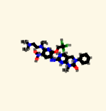 CN(C)CCN(C)c1nc(OCC(F)(F)F)c(Nc2ncc3c(n2)N(C)C(=O)N(c2ccccc2)C3)cc1[N+](=O)[O-]